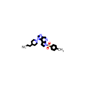 Cc1ccc(S(=O)(=O)n2ccc3c4c(cnc32)ncn4N2CCC(CCC#N)CC2)cc1